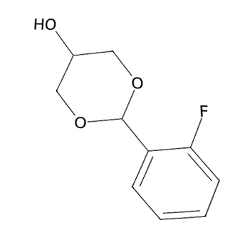 OC1COC(c2ccccc2F)OC1